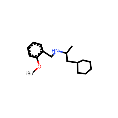 CCC(C)Oc1ccccc1CNC(C)CC1CCCCC1